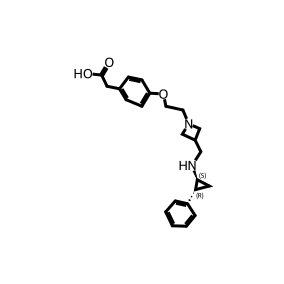 O=C(O)Cc1ccc(OCCN2CC(CN[C@H]3C[C@@H]3c3ccccc3)C2)cc1